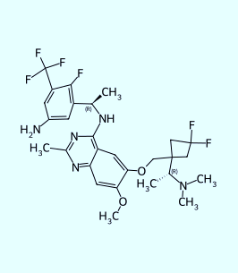 COc1cc2nc(C)nc(N[C@H](C)c3cc(N)cc(C(F)(F)F)c3F)c2cc1OCC1([C@@H](C)N(C)C)CC(F)(F)C1